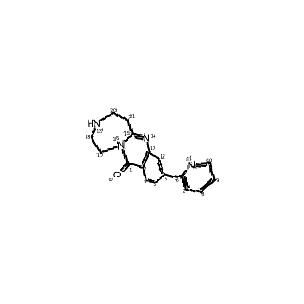 O=c1c2ccc(-c3ccccn3)cc2nc2n1CCNCC2